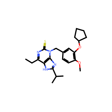 CCc1nc(=S)n(Cc2ccc(OC)c(OC3CCCC3)c2)c2nc(C(C)C)[nH]c12